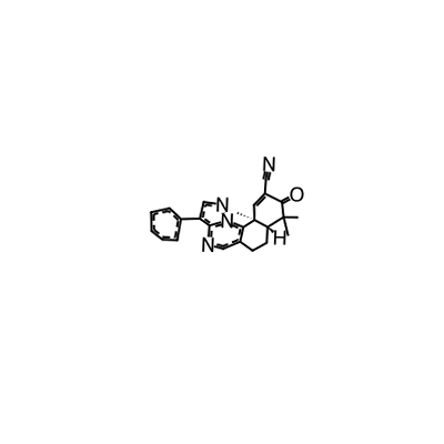 CC1(C)C(=O)C(C#N)=C[C@]2(C)c3c(cnc4c(-c5ccccc5)cnn34)CC[C@@H]12